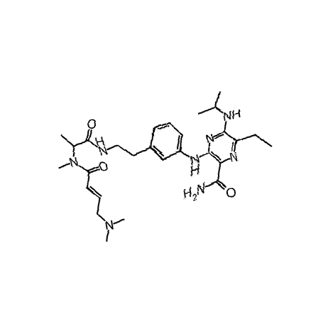 CCc1nc(C(N)=O)c(Nc2cccc(CCNC(=O)C(C)N(C)C(=O)C=CCN(C)C)c2)nc1NC(C)C